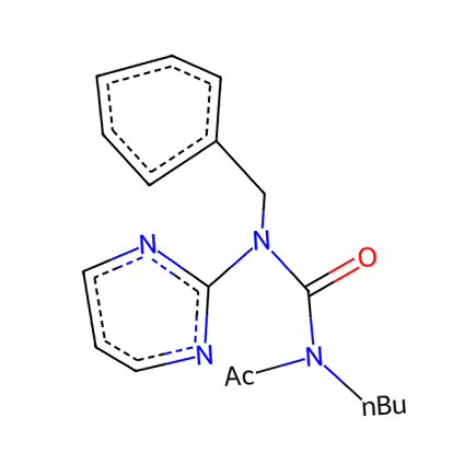 CCCCN(C(C)=O)C(=O)N(Cc1ccccc1)c1ncccn1